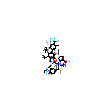 [2H]c1c([2H])c(-c2c([2H])c([2H])c(C(F)(F)F)c(C)c2[2H])c([2H])c([2H])c1CN(CCN(CC)CC)C(=O)Cn1c(SC([2H])([2H])c2ccc(F)cc2)nc(=O)c2c1CCC2